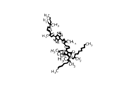 C=CCCC(C)(CC)c1ccc(-c2sc(-c3c4c(c(-c5cc(C)c(-c6ccc(C7=C8C(=O)N(CC(C)CCCCCCCC)C(C(C)(CC)CCCCC)=C8C(=O)N7CC(C)C)s6)s5)c5nsnc35)N=S=N4)cc2C)s1